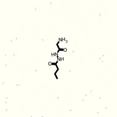 CCCC(=O)NNC(=O)CN